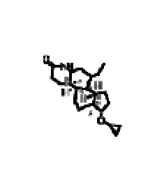 CCC1CC2NC(=O)CC[C@]2(C)[C@@H]2CC[C@]3(C)C(OC4CC4)CC[C@H]3[C@H]12